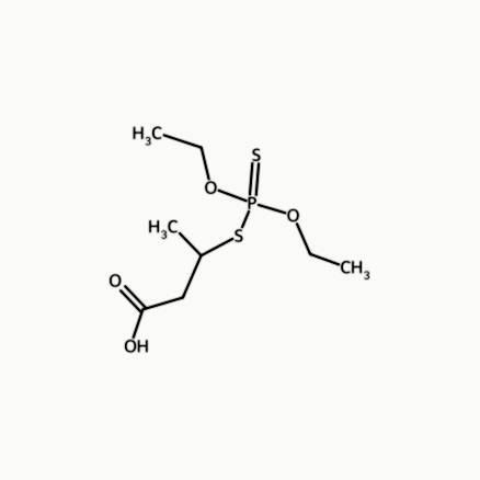 CCOP(=S)(OCC)SC(C)CC(=O)O